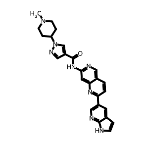 CN1CCC(n2cc(C(=O)Nc3cc4nc(-c5cnc6[nH]ccc6c5)ccc4cn3)cn2)CC1